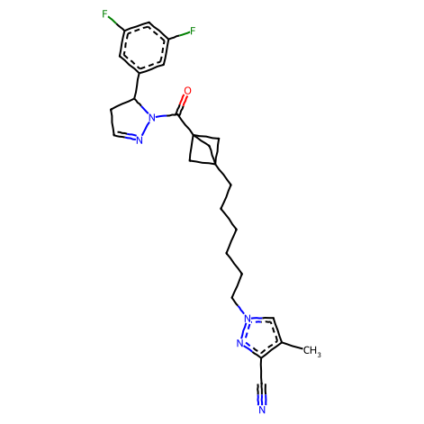 Cc1cn(CCCCCCC23CC(C(=O)N4N=CCC4c4cc(F)cc(F)c4)(C2)C3)nc1C#N